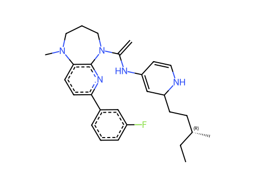 C=C(NC1=CC(CC[C@H](C)CC)NC=C1)N1CCCN(C)c2ccc(-c3cccc(F)c3)nc21